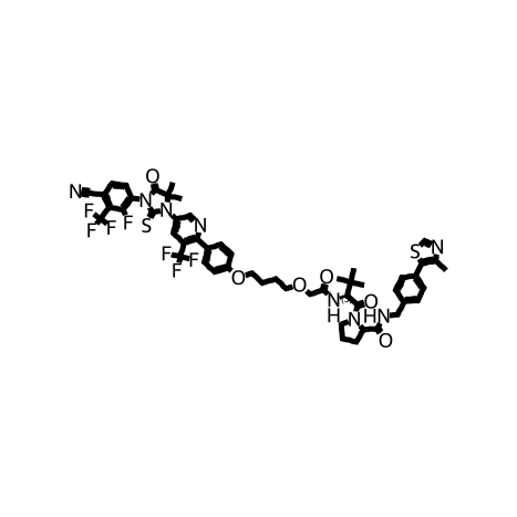 Cc1ncsc1-c1ccc(CNC(=O)C2CCCN2C(=O)[C@@H](NC(=O)COCCCCOc2ccc(-c3ncc(N4C(=S)N(c5ccc(C#N)c(C(F)(F)F)c5F)C(=O)C4(C)C)cc3C(F)(F)F)cc2)C(C)(C)C)cc1